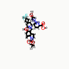 COC(=O)c1ccc([C@H]2CC3(CCN2Cc2c(OC)cc(C)c4c2ccn4C(=O)OC(C)(C)C)CC(F)(F)C3)c(N2CC(OC)C2)n1